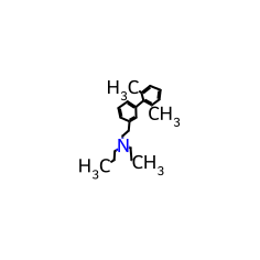 CCCN(CCC)CCc1cccc(-c2c(C)cccc2C)c1